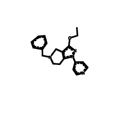 CCOc1nn(-c2ccncc2)c2c1CN(Cc1ccccc1)CC2